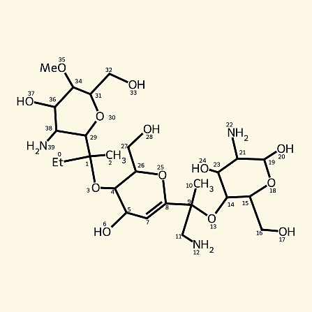 CCC(C)(OC1C(O)C=C(C(C)(CN)OC2C(CO)OC(O)C(N)C2O)OC1CO)C1OC(CO)C(OC)C(O)C1N